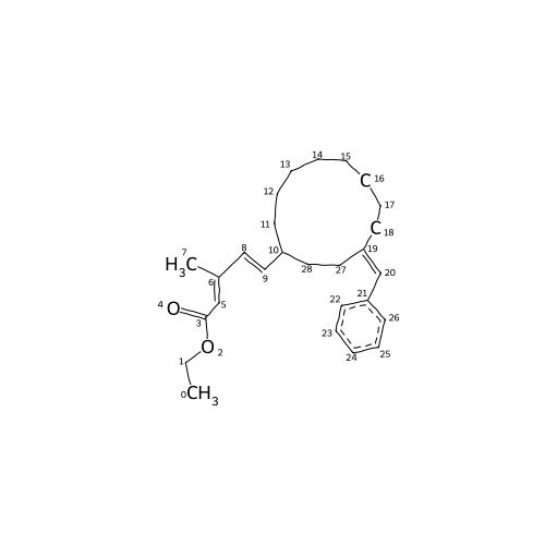 CCOC(=O)C=C(C)C=CC1CCCCCCCCC(=Cc2ccccc2)CC1